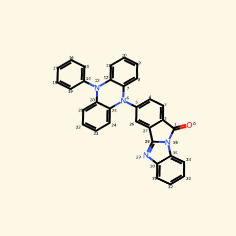 O=C1c2ccc(N3c4ccccc4N(c4ccccc4)c4ccccc43)cc2-c2nc3ccccc3n21